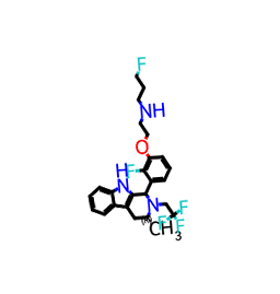 C[C@@H]1Cc2c([nH]c3ccccc23)C(c2cccc(OCCNCCCF)c2F)N1CC(F)(F)F